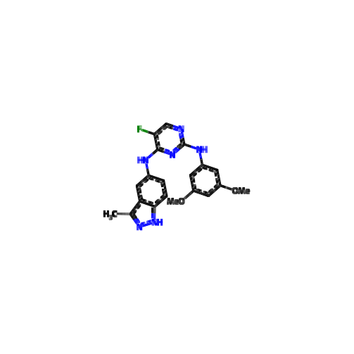 COc1cc(Nc2ncc(F)c(Nc3ccc4[nH]nc(C)c4c3)n2)cc(OC)c1